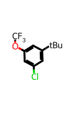 CC(C)(C)c1cc(Cl)cc(OC(F)(F)F)c1